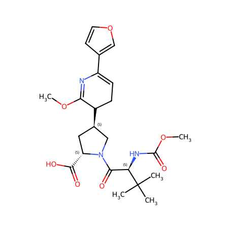 COC(=O)N[C@H](C(=O)N1C[C@H](C2CC=C(c3ccoc3)N=C2OC)C[C@H]1C(=O)O)C(C)(C)C